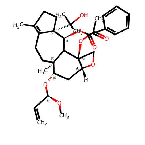 C=C[C@H](OC)O[C@H]1C[C@H]2OC[C@@]2(OC(C)=O)C2[C@H](OC(=O)c3ccccc3)[C@]3(C(C)(C)O)CCC(C)=C3CC[C@@]21C